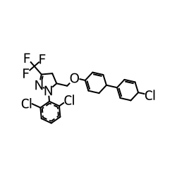 FC(F)(F)C1=NN(c2c(Cl)cccc2Cl)C(COC2=CCC(C3=CCC(Cl)C=C3)C=C2)C1